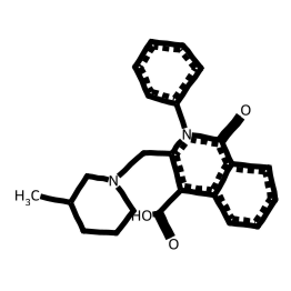 CC1CCCN(Cc2c(C(=O)O)c3ccccc3c(=O)n2-c2ccccc2)C1